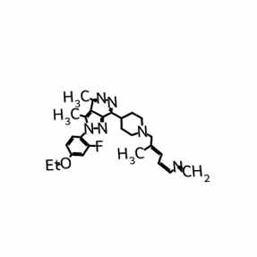 C=N/C=C\C=C(/C)CN1CCC(c2nnc(C)c3c(C)n(-c4ccc(OCC)cc4F)nc23)CC1